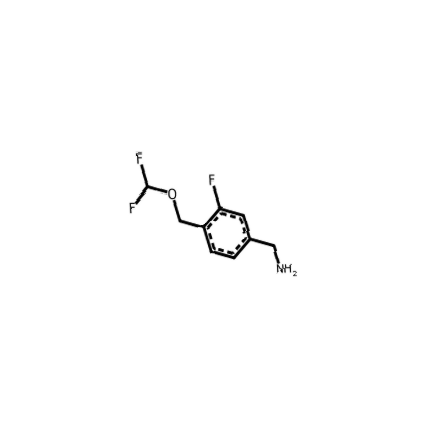 NCc1ccc(COC(F)F)c(F)c1